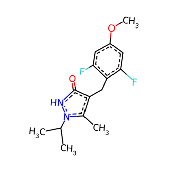 COc1cc(F)c(Cc2c(C)n(C(C)C)[nH]c2=O)c(F)c1